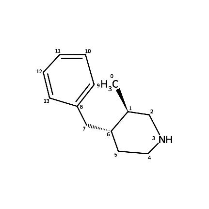 C[C@H]1CNCC[C@@H]1Cc1ccccc1